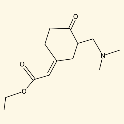 CCOC(=O)C=C1CCC(=O)C(CN(C)C)C1